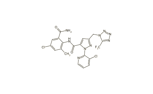 Cc1cc(Cl)cc(C(N)=O)c1NC(=O)c1cc(Cn2nnnc2C(F)(F)F)nn1-c1ncccc1Cl